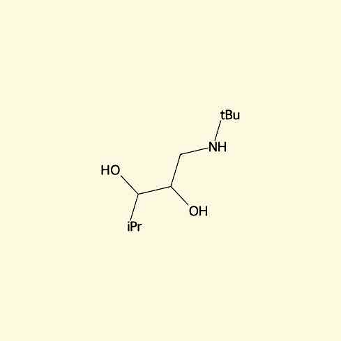 CC(C)C(O)C(O)CNC(C)(C)C